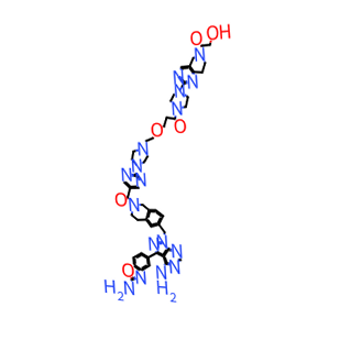 Nc1nc2cc(-c3nn(Cc4ccc5c(c4)CCN(C(=O)c4cnc(N6CCN(CCOCCC(=O)N7CCN(c8ncc9c(n8)CCN(C(=O)CO)C9)CC7)CC6)nc4)C5)c4ncnc(N)c34)ccc2o1